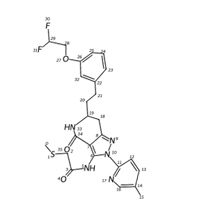 CSCC(=O)Nc1c2c(nn1-c1ccc(C)cn1)CC(CCc1cccc(OCC(F)F)c1)NC2=O